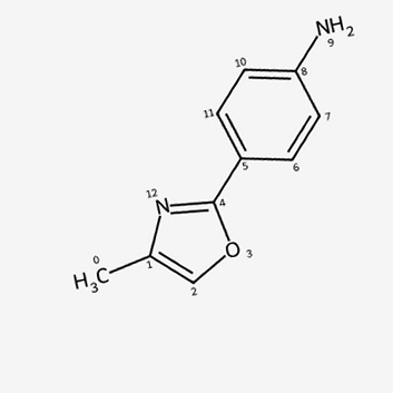 Cc1coc(-c2ccc(N)cc2)n1